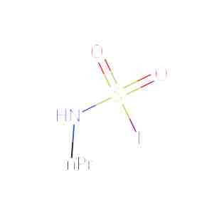 CCCNS(=O)(=O)I